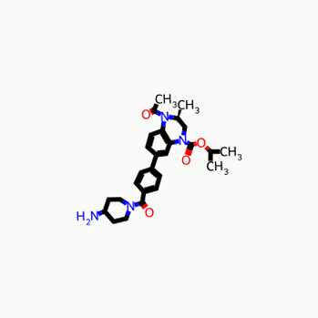 CC(=O)N1c2ccc(-c3ccc(C(=O)N4CCC(N)CC4)cc3)cc2N(C(=O)OC(C)C)C[C@@H]1C